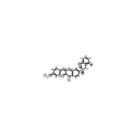 O=C1Nc2ccc(S(=O)(=O)Cc3c(F)cccc3F)cc2S/C1=C/c1ccc([N+](=O)[O-])cc1